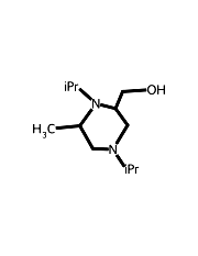 CC(C)N1CC(C)N(C(C)C)C(CO)C1